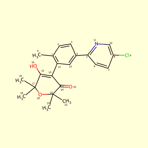 Cc1ccc(-c2ccc(Cl)cn2)cc1C1=C(O)C(C)(C)OC(C)(C)C1=O